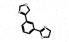 c1cc(C2=NCOC2)cc(C2=NCCO2)c1